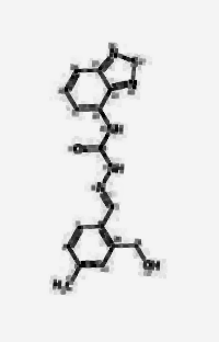 Cc1ccc(/C=N/NC(=O)Nc2cccc3nsnc23)c(CO)c1